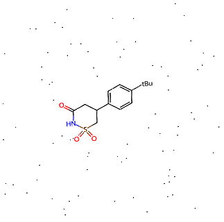 CC(C)(C)c1ccc(C2CC(=O)NS(=O)(=O)C2)cc1